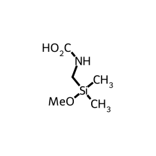 CO[Si](C)(C)CNC(=O)O